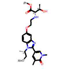 COC[C@H](C)n1c(-c2cc(C)c(=O)n(C)c2)nc2cc(OCCN[C@H](C(=O)OC(C)C)[C@@H](C)O)ccc21